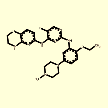 CCOc1ccc(N2CCN(C)CC2)cc1Nc1ncc(F)c(Nc2ccc3c(n2)NCCO3)n1